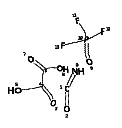 N=C=O.O=C(O)C(=O)O.O=P(F)(F)F